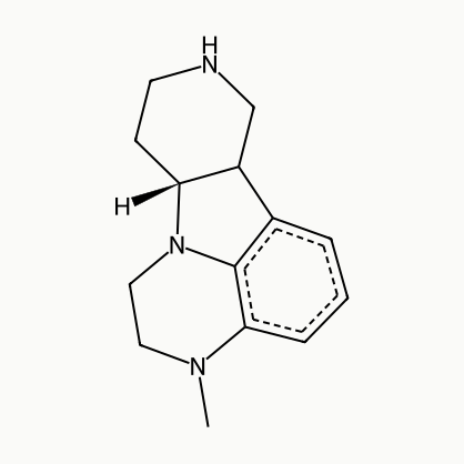 CN1CCN2c3c(cccc31)C1CNCC[C@H]12